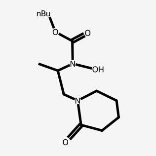 CCCCOC(=O)N(O)C(C)CN1CCCCC1=O